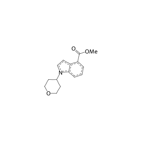 COC(=O)c1cccc2c1ccn2C1CCOCC1